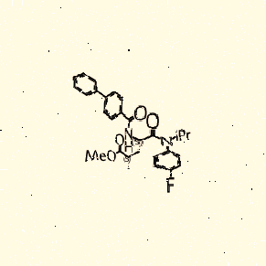 COC(=O)[C@@H](C)C[C@H](NC(=O)c1ccc(-c2ccccc2)cc1)C(=O)N(c1ccc(F)cc1)C(C)C